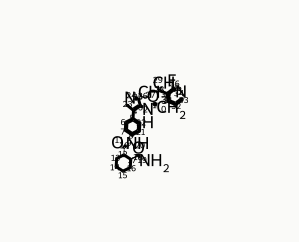 C=C(NC1=C(c2ccc(NC(=O)[C@H]3CCCC[C@@H]3C(N)=O)cc2)CN=C1C)OC(C)c1cccnc1F